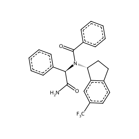 NC(=O)[C@@H](c1ccccc1)N(C(=O)c1ccccc1)[C@@H]1CCc2ccc(C(F)(F)F)cc21